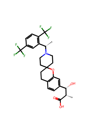 C[C@H](C(=O)O)[C@@H](O)c1ccc2c(c1)OC1(CC2)CCN([C@@H](C)c2cc(C(F)(F)F)ccc2C(F)(F)F)CC1